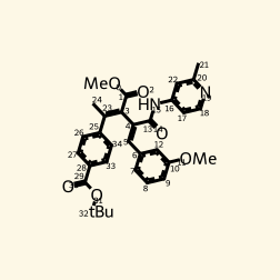 COC(=O)C(C(=Cc1cccc(OC)c1)C(=O)Nc1ccnc(C)c1)=C(C)c1ccc(C(=O)OC(C)(C)C)cc1